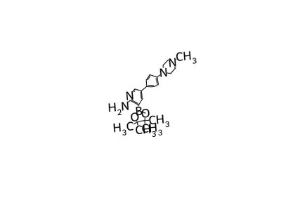 CN1CCN(c2ccc(-c3cnc(N)c(B4OC(C)(C)C(C)(C)O4)c3)cc2)CC1